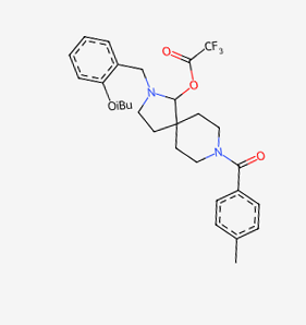 Cc1ccc(C(=O)N2CCC3(CC2)CCN(Cc2ccccc2OCC(C)C)C3OC(=O)C(F)(F)F)cc1